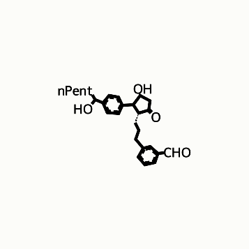 CCCCCC(O)c1ccc(C2[C@H](O)CC(=O)[C@@H]2CCCc2cccc(C=O)c2)cc1